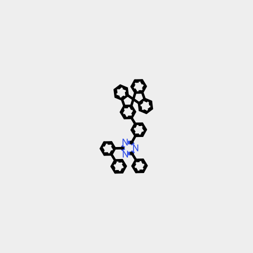 c1ccc(-c2nc(-c3cccc(-c4ccc5c(c4)C4(c6ccccc6-c6ccccc64)c4ccccc4-5)c3)nc(-c3ccccc3-c3ccccc3)n2)cc1